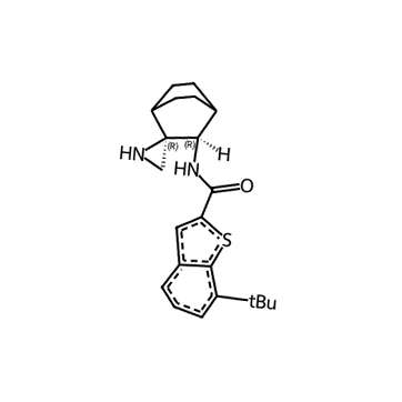 CC(C)(C)c1cccc2cc(C(=O)N[C@@H]3C4CCC(CC4)[C@@]34CN4)sc12